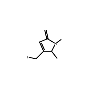 C=C1C=C(CF)C(C)N1C